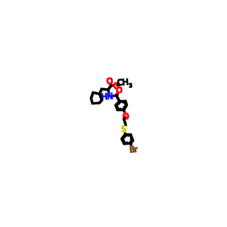 COC(=O)C(CC1CCCCC1)NC(=O)c1ccc(OCCSc2ccc(Br)cc2)cc1